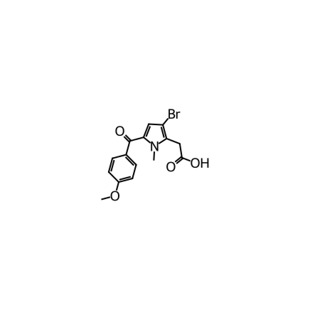 COc1ccc(C(=O)c2cc(Br)c(CC(=O)O)n2C)cc1